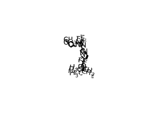 COc1ccc(Cn2nc(C(F)(F)F)nc2-c2cn3cc(C(F)(F)CO[Si](C)(C)C(C)(C)C)ccc3n2)cc1